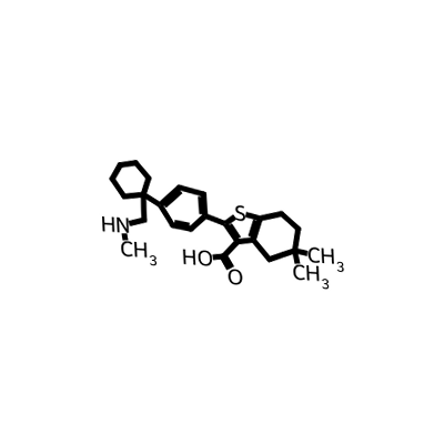 CNCC1(c2ccc(-c3sc4c(c3C(=O)O)CC(C)(C)CC4)cc2)CCCCC1